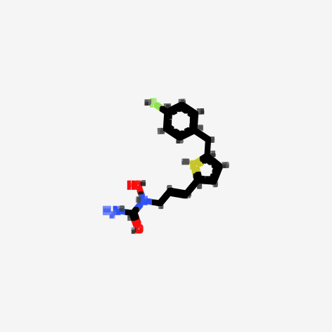 NC(=O)N(O)CC=Cc1ccc(Cc2ccc(F)cc2)s1